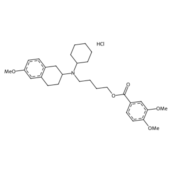 COc1ccc2c(c1)CCC(N(CCCCOC(=O)c1ccc(OC)c(OC)c1)C1CCCCC1)C2.Cl